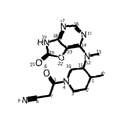 CC1CCN(C(=O)CC#N)CC1N(C)c1ncnc2[nH]c(=O)oc12